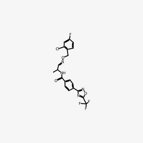 CC(C=NOCc1ccc(F)cc1Cl)NC(=O)c1ccc(-c2noc(C(F)(F)F)n2)cc1